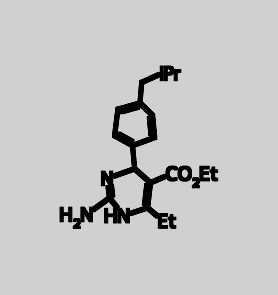 CCOC(=O)C1=C(CC)NC(N)=NC1c1ccc(CC(C)C)cc1